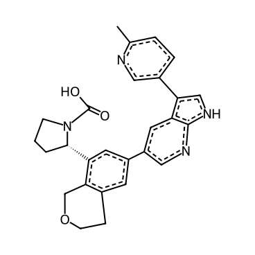 Cc1ccc(-c2c[nH]c3ncc(-c4cc5c(c([C@@H]6CCCN6C(=O)O)c4)COCC5)cc23)cn1